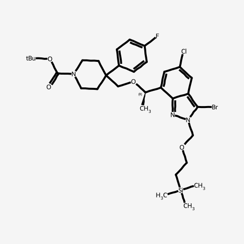 C[C@@H](OCC1(c2ccc(F)cc2)CCN(C(=O)OC(C)(C)C)CC1)c1cc(Cl)cc2c(Br)n(COCC[Si](C)(C)C)nc12